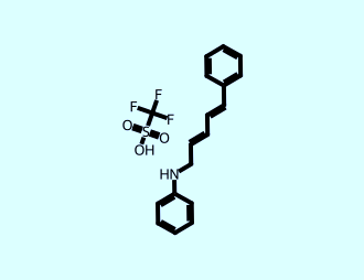 C(C=Cc1ccccc1)=CCNc1ccccc1.O=S(=O)(O)C(F)(F)F